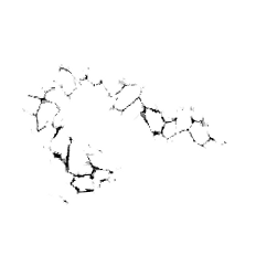 CCOc1cc(-c2ccc(N3CCC(C)(CN4CCN(C(=O)CCN5CCC(c6ccc7c(c6)C(=O)N(C6CCC(=O)NC6=O)C7)CC5)CC4)CC3)nc2)c2c(C#N)cnn2c1